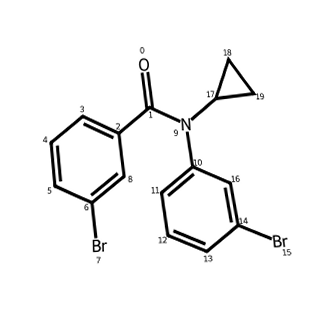 O=C(c1cccc(Br)c1)N(c1cccc(Br)c1)C1CC1